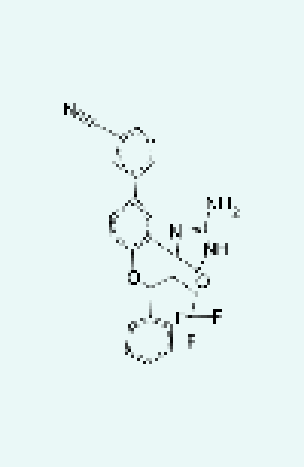 N#Cc1cccc(-c2ccc3c(c2)[C@]2(N=C(N)NC2=O)C(CC(F)(F)F)[C@H](c2ccccc2)O3)c1